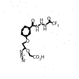 [N-]=[N+]=NC(COc1cccc(C(=O)NNNC(=O)C(F)(F)F)c1)OCC(=O)O